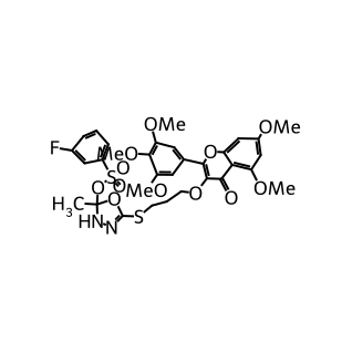 COc1cc(OC)c2c(=O)c(OCCCSC3=NNC(C)(OS(=O)(=O)c4cccc(F)c4)O3)c(-c3cc(OC)c(OC)c(OC)c3)oc2c1